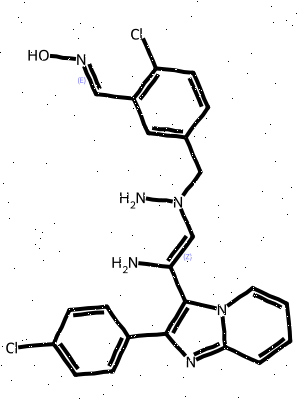 N/C(=C\N(N)Cc1ccc(Cl)c(/C=N/O)c1)c1c(-c2ccc(Cl)cc2)nc2ccccn12